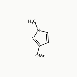 COc1ccn(C)n1